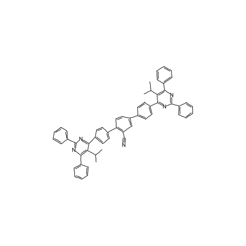 CC(C)c1c(-c2ccccc2)nc(-c2ccccc2)nc1-c1ccc(-c2ccc(-c3ccc(-c4nc(-c5ccccc5)nc(-c5ccccc5)c4C(C)C)cc3)c(C#N)c2)cc1